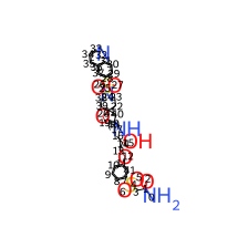 NC(=O)CS(=O)(=O)c1cccc(OCC(O)CN[C@H]2COC3(CCN(S(=O)(=O)c4ccc5ncccc5c4)CC3)C2)c1